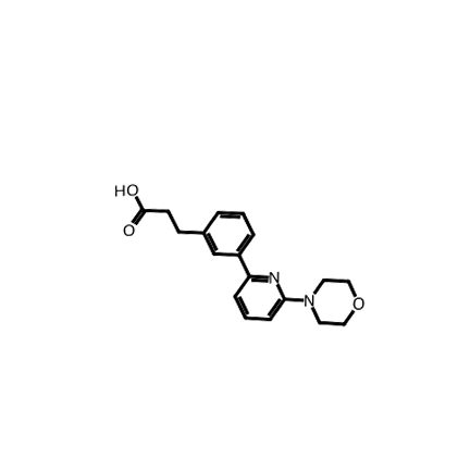 O=C(O)CCc1cccc(-c2cccc(N3CCOCC3)n2)c1